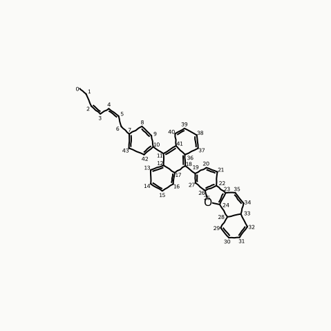 CC/C=C\C=C/Cc1ccc(-c2c3ccccc3c(-c3ccc4c5c(oc4c3)C3C=CC=CC3C=C5)c3ccccc23)cc1